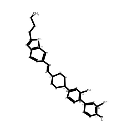 CCCCc1cc2ccc(/C=C/C3CCC(c4ccc(-c5ccc(F)c(F)c5)c(F)c4)CC3)cc2s1